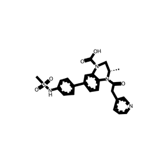 C[C@H]1CN(C(=O)O)c2cc(-c3ccc(NS(C)(=O)=O)cc3)ccc2N1C(=O)Cc1cccnc1